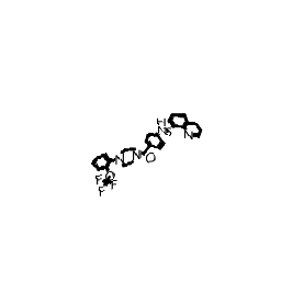 O=C(c1ccc(NSc2cccc3c2N=CCC3)cc1)N1CCN(c2ccccc2OC(F)(F)F)CC1